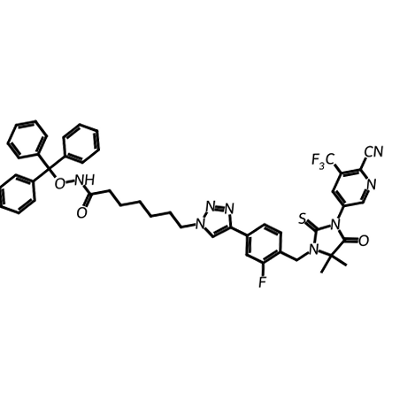 CC1(C)C(=O)N(c2cnc(C#N)c(C(F)(F)F)c2)C(=S)N1Cc1ccc(-c2cn(CCCCCCC(=O)NOC(c3ccccc3)(c3ccccc3)c3ccccc3)nn2)cc1F